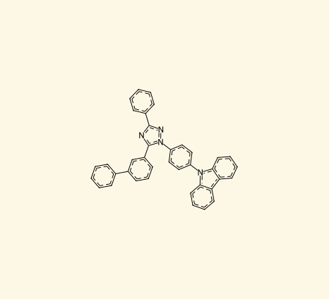 c1ccc(-c2cccc(-c3nc(-c4ccccc4)nn3-c3ccc(-n4c5ccccc5c5ccccc54)cc3)c2)cc1